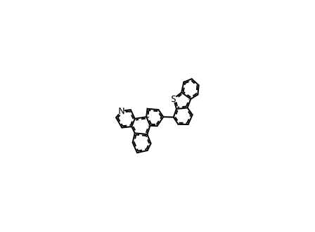 c1ccc2c(c1)sc1c(-c3ccc4c5cnccc5c5ccccc5c4c3)cccc12